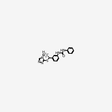 C[C@H](Sc1nncn1C)c1cccc(NC(=O)Nc2ccccc2)c1